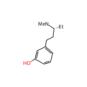 CC[C@H](CCc1cccc(O)c1)NC